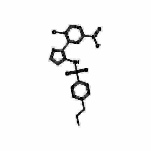 CCCc1ccc(S(=O)(=O)Nc2ccsc2-c2cc([N+](=O)[O-])ccc2Cl)cc1